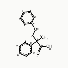 CC(COc1ccccc1)(C(=O)O)c1ccccc1